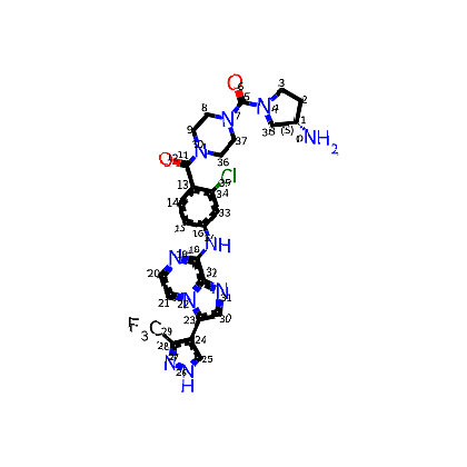 N[C@H]1CCN(C(=O)N2CCN(C(=O)c3ccc(Nc4nccn5c(-c6c[nH]nc6C(F)(F)F)cnc45)cc3Cl)CC2)C1